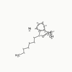 CCCCCCCCc1ccccc1[SH](=O)(O)O.[Ni]